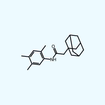 Cc1cc(C)c(NC(=O)CC23CC4CC(CC(C4)C2)C3)cc1C